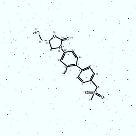 CS(=O)(=O)Cc1ccc(-c2ccc(N3C[C@H](CO)OC3=O)cc2F)cc1